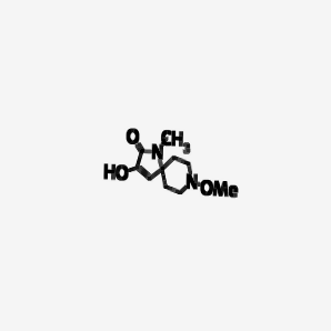 CON1CCC2(C=C(O)C(=O)N2C)CC1